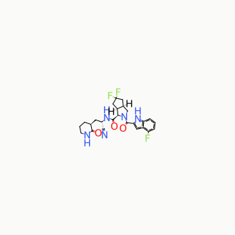 N#C[C@H](C[C@@H]1CCCNC1=O)NC(=O)[C@H]1[C@H]2CC(F)(F)C[C@H]2CN1C(=O)c1cc2c(F)cccc2[nH]1